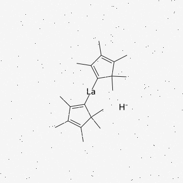 CC1=C(C)C(C)(C)[C]([La][C]2=C(C)C(C)=C(C)C2(C)C)=C1C.[H-]